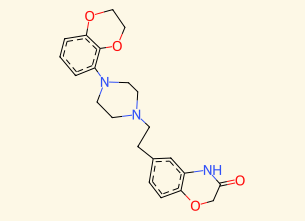 O=C1COc2ccc(CCN3CCN(c4cccc5c4OCCO5)CC3)cc2N1